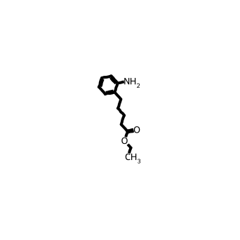 CCOC(=O)CCCCc1ccccc1N